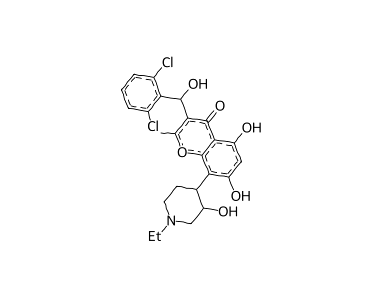 CCN1CCC(c2c(O)cc(O)c3c(=O)c(C(O)c4c(Cl)cccc4Cl)c(C)oc23)C(O)C1